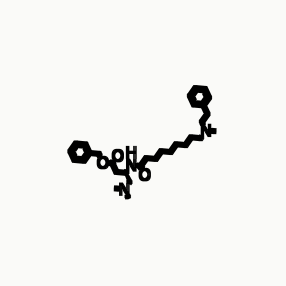 CN(C)C[C@@H](CC(=O)OCc1ccccc1)NC(=O)CCCCCCCCN(C)CCc1ccccc1